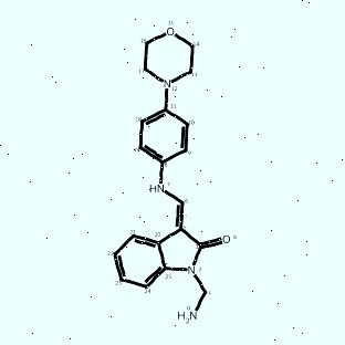 NCN1C(=O)/C(=C/Nc2ccc(N3CCOCC3)cc2)c2ccccc21